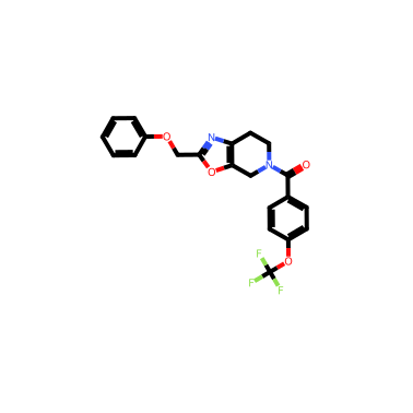 O=C(c1ccc(OC(F)(F)F)cc1)N1CCc2nc(COc3ccccc3)oc2C1